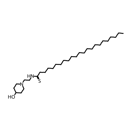 CCCCCCCCCCCCCCCCCCCCCCC(=S)NCCN1CCC(O)CC1